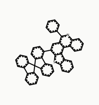 c1ccc(-c2nc3ccccc3c3c2cc(-c2cccc4c2-c2ccccc2C42c4ccccc4-c4ccccc42)c2sc4ccccc4c23)cc1